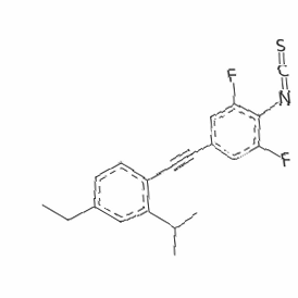 CCc1ccc(C#Cc2cc(F)c(N=C=S)c(F)c2)c(C(C)C)c1